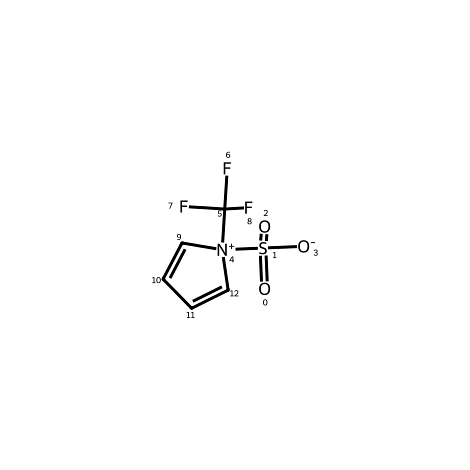 O=S(=O)([O-])[N+]1(C(F)(F)F)C=CC=C1